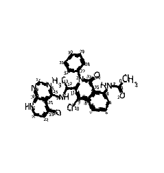 CC(=O)Nc1cccc2c(Cl)c(C(C)Nc3ncnc4[nH]ccc(=O)c34)n(-c3ccccc3)c(=O)c12